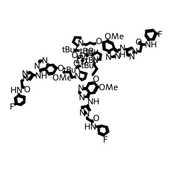 COc1cc2c(Nc3cnn(CC(=O)Nc4cccc(F)c4)c3)ncnc2cc1OCCCN1CCC[C@@H]1C(OP(=O)(OC([C@H]1CCCN1CCCOc1cc2ncnc(Nc3cnn(CC(=O)Nc4cccc(F)c4)c3)c2cc1OC)(C(C)(C)C)C(C)(C)C)OC([C@H]1CCCN1CCCOc1cc2ncnc(Nc3cnn(CC(=O)Nc4cccc(F)c4)c3)c2cc1OC)(C(C)(C)C)C(C)(C)C)(C(C)(C)C)C(C)(C)C